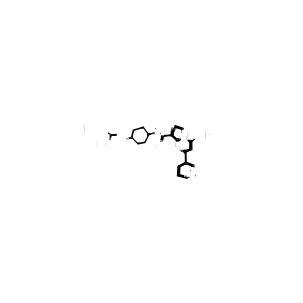 Cc1cc(-c2cccnc2)nc2c(C(=O)NC3CCC(OCC(C)C)CC3)ccn12